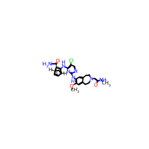 CNC(=O)CN1CCc2cc(Nc3ncc(Cl)c(N[C@@H]4[C@H](C(N)=O)[C@H]5C=C[C@@H]4C5)n3)c(OC)cc2CC1